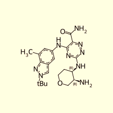 Cc1cc(Nc2nc(N[C@@H]3CCOC[C@@H]3N)nnc2C(N)=O)cc2cn(C(C)(C)C)nc12